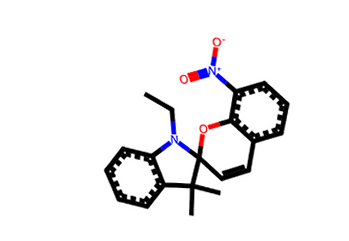 CCN1c2ccccc2C(C)(C)C12C=Cc1cccc([N+](=O)[O-])c1O2